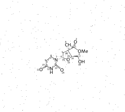 COC(=O)[C@]1(C)C[C@@H](n2ccc(=O)[nH]c2=O)O[C@@H]1CO